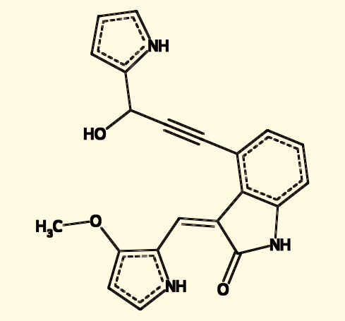 COc1cc[nH]c1/C=C1\C(=O)Nc2cccc(C#CC(O)c3ccc[nH]3)c21